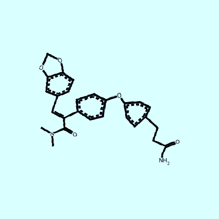 CN(C)C(=O)/C(=C/c1ccc2c(c1)OCO2)c1ccc(Oc2ccc(CCC(N)=O)cc2)cc1